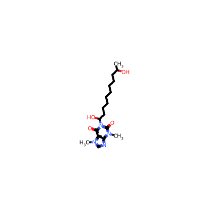 CC(O)CCCCCCCCC(O)n1c(=O)c2c(ncn2C)n(C)c1=O